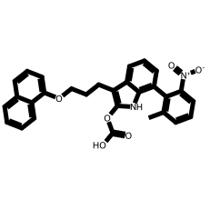 Cc1cccc([N+](=O)[O-])c1-c1cccc2c(CCCOc3cccc4ccccc34)c(OC(=O)O)[nH]c12